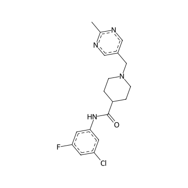 Cc1ncc(CN2CCC(C(=O)Nc3cc(F)cc(Cl)c3)CC2)cn1